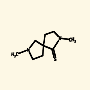 CN1CCC2(CCN(C)C2=S)C1